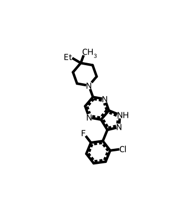 CCC1(C)CCN(c2cnc3c(-c4c(F)cccc4Cl)n[nH]c3n2)CC1